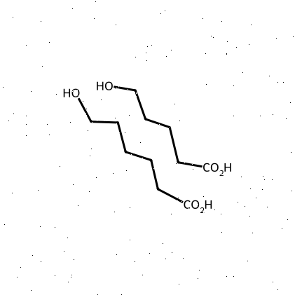 O=C(O)CCCCCO.O=C(O)CCCCO